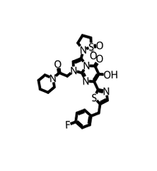 O=C(Cn1cc(N2CCCS2(=O)=O)n2c(=O)c(O)c(-c3ncc(Cc4ccc(F)cc4)s3)nc12)N1CCCCC1